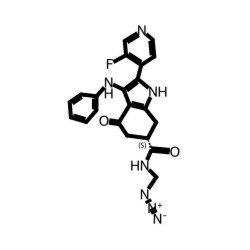 [N-]=[N+]=NCNC(=O)[C@@H]1CC(=O)c2c([nH]c(-c3ccncc3F)c2Nc2ccccc2)C1